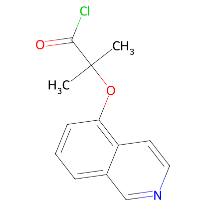 CC(C)(Oc1cccc2cnccc12)C(=O)Cl